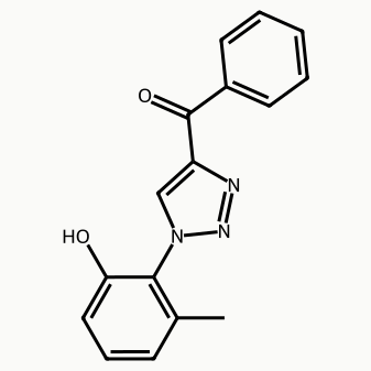 Cc1cccc(O)c1-n1cc(C(=O)c2ccccc2)nn1